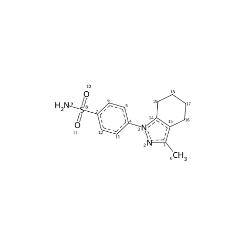 Cc1nn(-c2ccc(S(N)(=O)=O)cc2)c2c1CCCC2